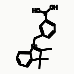 CC1=[N+](Cc2cccc(B(O)O)c2)c2ccccc2C1(C)C